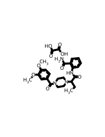 CCC(C(=O)Nc1ccccc1C(N)=O)N1CCN(C(=O)c2ccc(OC)c(OC)c2)CC1.O=C(O)C(=O)O